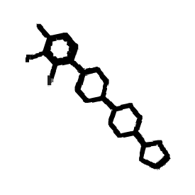 Cc1ccc(C2CCC(C3CCC(C4CCCC4)CC3)CC2)c(F)c1F